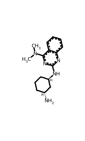 CN(C)c1nc(N[C@@H]2CCC[C@@H](N)C2)nc2ccccc12